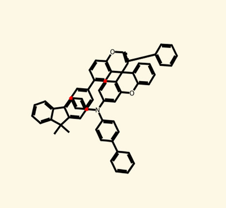 CC1(C)c2ccccc2-c2ccc(N(c3ccc(-c4ccccc4)cc3)c3ccc4c(c3)Oc3ccccc3C43c4cc(-c5ccccc5)ccc4Oc4ccc(-c5ccccc5)cc43)cc21